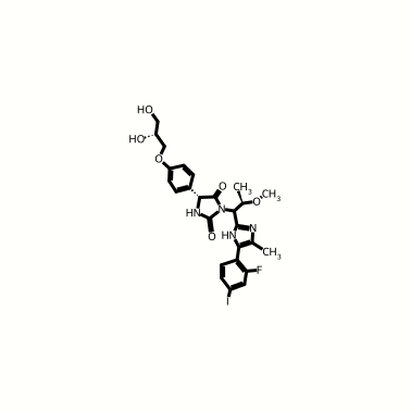 CO[C@H](C)C(c1nc(C)c(-c2ccc(I)cc2F)[nH]1)N1C(=O)N[C@H](c2ccc(OC[C@H](O)CO)cc2)C1=O